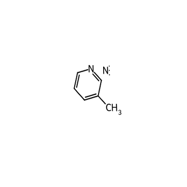 Cc1cccnc1.[N]